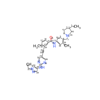 CCC1CCCN(Cc2ccc(NC(=O)c3ccc(C)c(C#Cc4cnc(Nc5cnn(CC)c5)nc4)c3)cc2C)CC1